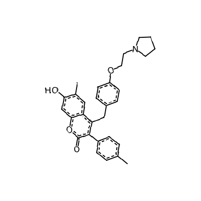 Cc1ccc(-c2c(Cc3ccc(OCCN4CCCC4)cc3)c3cc(C)c(O)cc3oc2=O)cc1